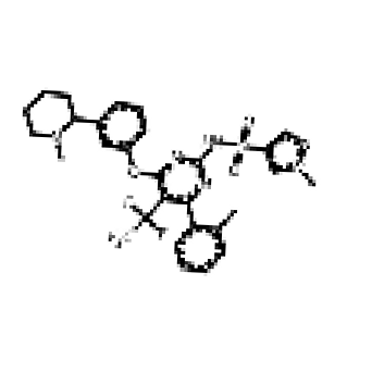 Cc1ccccc1-c1nc(NS(=O)(=O)c2cnn(C)c2)nc(Oc2cccc(C3CCCCN3C)c2)c1C(F)(F)C(F)(F)F